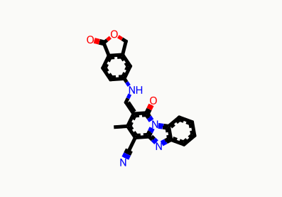 Cc1c(C#N)c2nc3ccccc3n2c(=O)/c1=C\Nc1ccc2c(c1)COC2=O